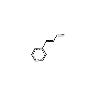 C=CC=Cc1c[c]ccc1